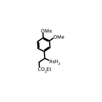 CCOC(=O)CC([AsH2])c1ccc(OC)c(OC)c1